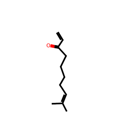 C=CC(=O)CCCCC=C(C)C